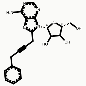 Nc1ncnc2c1nc(CC#CCc1ccccc1)n2[C@@H]1O[C@H](CO)C(O)C1O